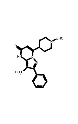 O=CN1CCC(c2cc(=O)[nH]c3c(C(=O)O)c(-c4ccccc4)nn23)CC1